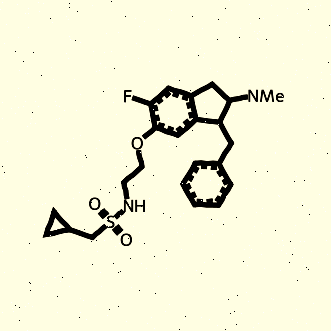 CNC1Cc2cc(F)c(OCCNS(=O)(=O)CC3CC3)cc2C1Cc1ccccc1